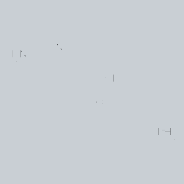 CC(C)(P)C(C)(C)OBc1ccc(N)nc1